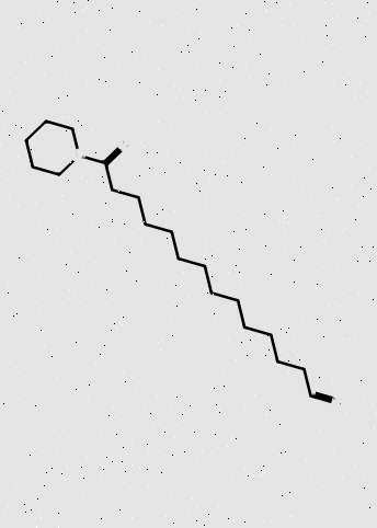 N=CCCCCCCCCCCCCC(=N)N1CCCCC1